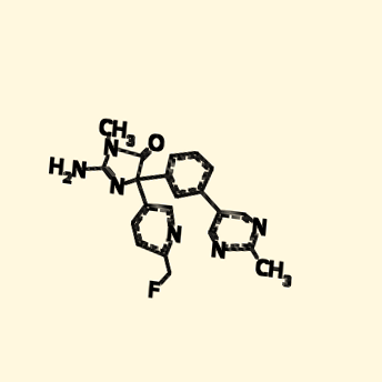 Cc1ncc(-c2cccc(C3(c4ccc(CF)nc4)N=C(N)N(C)C3=O)c2)cn1